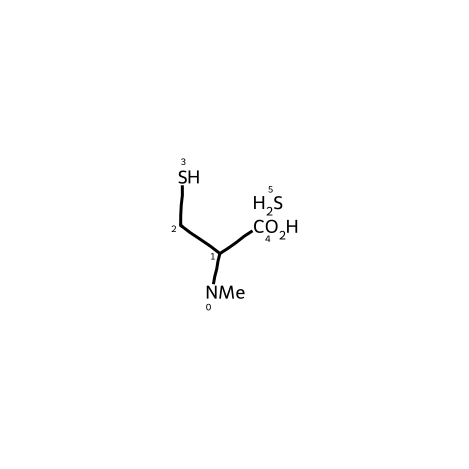 CNC(CS)C(=O)O.S